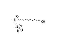 CN(CCN(C)P(=O)(N(C)C)N(C)C)C(=O)CCCCCCCCCCS